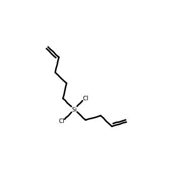 C=CCCC[Si](Cl)(Cl)CCC=C